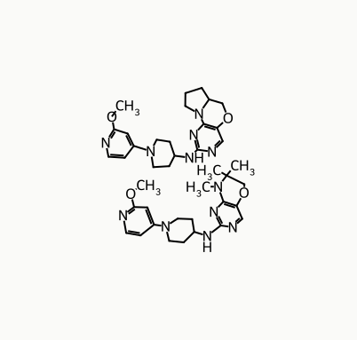 COc1cc(N2CCC(Nc3ncc4c(n3)N(C)C(C)(C)CO4)CC2)ccn1.COc1cc(N2CCC(Nc3ncc4c(n3)N3CCCC3CO4)CC2)ccn1